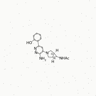 CC(=O)NC1[C@H]2CN(c3cc(-c4ccccc4O)nnc3N)C[C@@H]12